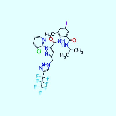 Cc1cc(I)cc(C(=O)NC(C)C)c1NC(=O)c1cc(Cn2cc(C(F)(F)C(F)(F)C(F)(F)F)nn2)nn1-c1ncccc1Cl